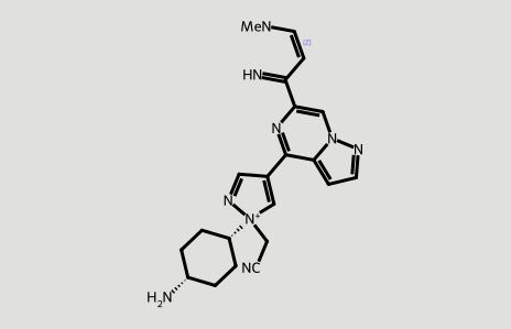 CN/C=C\C(=N)c1cn2nccc2c(C2=C[N+](CC#N)([C@H]3CC[C@@H](N)CC3)N=C2)n1